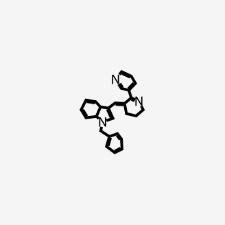 C1=CC2C(/C=C3\CCCN=C3c3cccnc3)=CN(Cc3ccccc3)C2C=C1